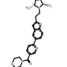 C[C@@H]1CC[C@@H](C)N1CCc1cc2cc(-c3ccc(C(=O)N4CCOCC4)cn3)ccc2o1